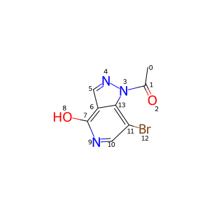 CC(=O)n1ncc2c(O)ncc(Br)c21